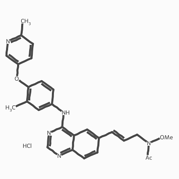 CON(CC=Cc1ccc2ncnc(Nc3ccc(Oc4ccc(C)nc4)c(C)c3)c2c1)C(C)=O.Cl